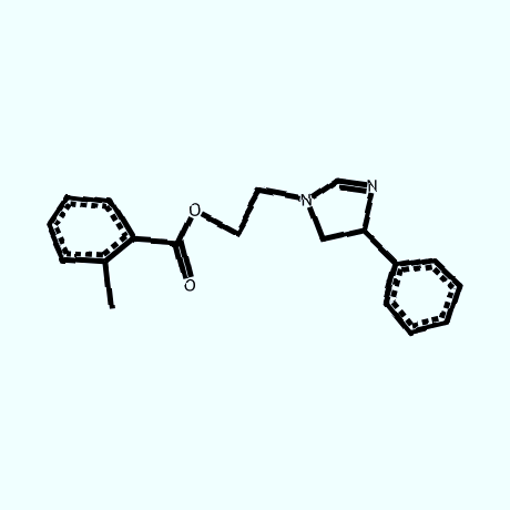 Cc1ccccc1C(=O)OCCN1C=NC(c2ccccc2)C1